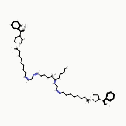 CCCCC/C(=C\C/C=C\CCCCCCCC(=O)N1CC[C@@H](c2c[nH]c3ccccc23)C1)C(C)CCC/C=C\C/C=C\CCCCCCCC(=O)N1CCC(c2c[nH]c3ccccc23)CC1